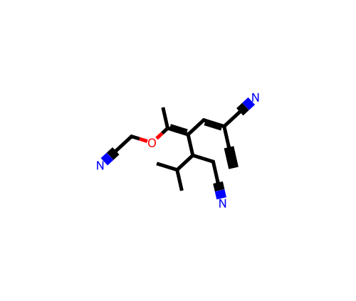 C#C/C(C#N)=C\C(=C(/C)OCC#N)C(CC#N)C(C)C